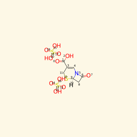 O=C(O)C1=CN2C(=O)C[C@H]2SC1.O=S(=O)(O)O.O=S(=O)(O)O